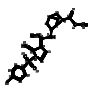 CN/C(NC1CC2CC1N(C(=O)OC(C)(C)C)C2)=C1/C=CN(S(=O)(=O)c2ccc(C)cc2)C1=N